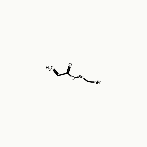 C=CC(=O)[O][Sn][CH2]CCC